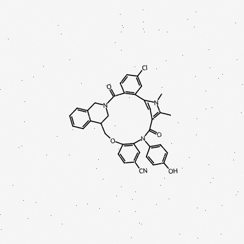 Cc1c2cc(n1C)-c1cc(Cl)ccc1C(=O)N1Cc3ccccc3C(COc3ccc(C#N)cc3N(c3ccc(O)cc3)C2=O)C1